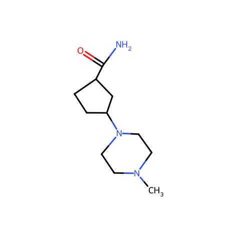 CN1CCN(C2CCC(C(N)=O)C2)CC1